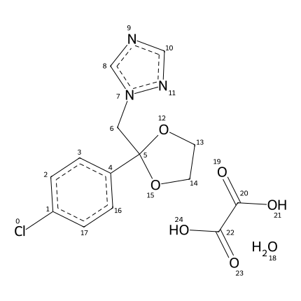 Clc1ccc(C2(Cn3cncn3)OCCO2)cc1.O.O=C(O)C(=O)O